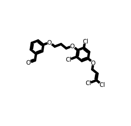 O=Cc1cccc(OCCCOc2c(Cl)cc(OCC=C(Cl)Cl)cc2Cl)c1